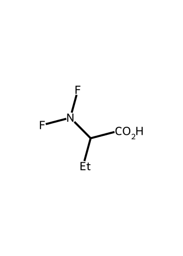 CCC(C(=O)O)N(F)F